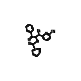 CCC(c1cccc(C#N)n1)C(OC(=O)c1ccccc1)C(=O)c1ccccc1